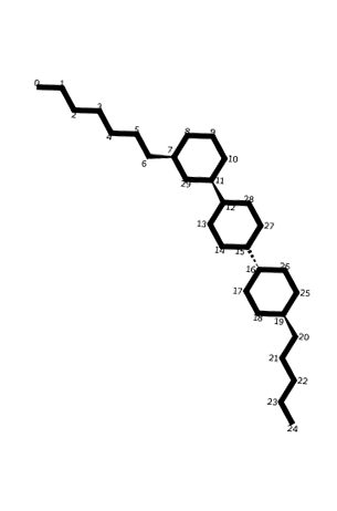 CCCCCCC[C@H]1CCC[C@@H](C2CCC([C@H]3CC[C@H](CCCCC)CC3)CC2)C1